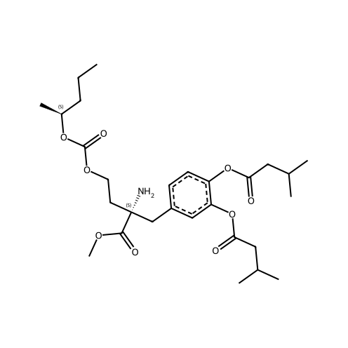 CCC[C@H](C)OC(=O)OCC[C@@](N)(Cc1ccc(OC(=O)CC(C)C)c(OC(=O)CC(C)C)c1)C(=O)OC